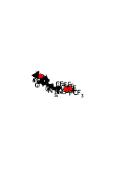 CN(C(=O)c1cc(-c2cc(-c3c(C(F)(F)F)c(OS(=O)(=O)C(F)(F)C(F)(F)C(F)(F)C(F)(F)F)nn3C)no2)ccc1Cl)C1(C#N)CC1